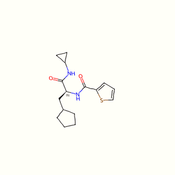 O=C(N[C@@H](CC1CCCC1)C(=O)NC1CC1)c1cccs1